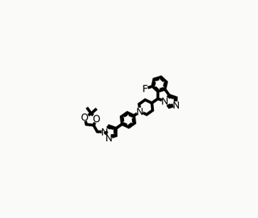 CC1(C)OCC(Cn2cc(-c3ccc(N4CCC(C5c6c(F)cccc6-c6cncn65)CC4)cc3)cn2)O1